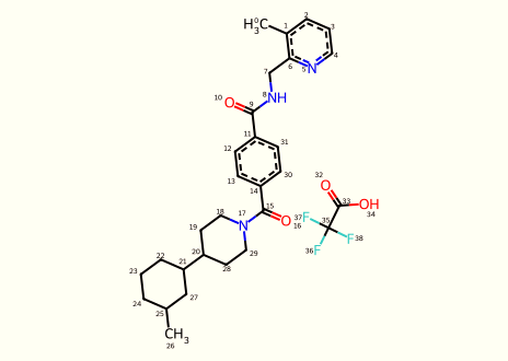 Cc1cccnc1CNC(=O)c1ccc(C(=O)N2CCC(C3CCCC(C)C3)CC2)cc1.O=C(O)C(F)(F)F